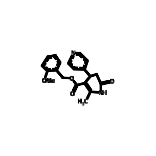 COc1ccccc1COC(=O)C1=C(C)NC(=O)CC1c1ccncc1